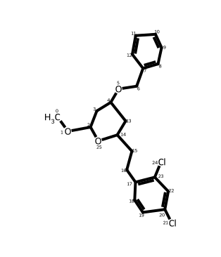 COC1CC(OCc2ccccc2)CC(CCc2ccc(Cl)cc2Cl)O1